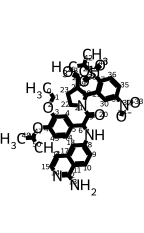 CCOc1cc(C(Nc2ccc3c(N)nccc3c2)C(=O)N2CCC(C(=O)O)C2c2cc([N+](=O)[O-])ccc2S(=O)(=O)C(C)C)ccc1OC(C)C